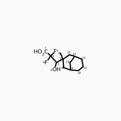 CC1(C(O)C(F)(F)C(=O)O)CC2CCCC(C2)C1